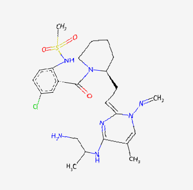 C=NN1C=C(C)C(NC(C)CN)=N/C1=C/C[C@@H]1CCCCN1C(=O)c1cc(Cl)ccc1NS(C)(=O)=O